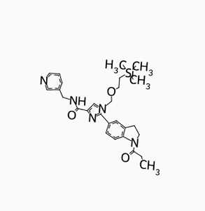 CCC(=O)N1CCc2cc(-c3nc(C(=O)NCc4cccnc4)cn3COCC[Si](C)(C)C)ccc21